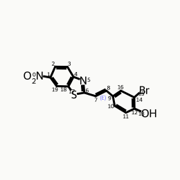 O=[N+]([O-])c1ccc2nc(/C=C/c3ccc(O)c(Br)c3)sc2c1